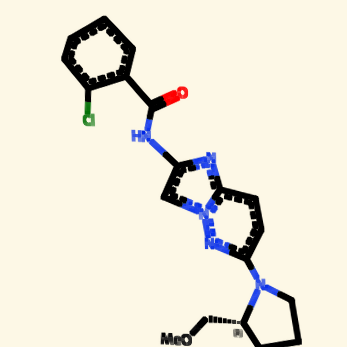 COC[C@H]1CCCN1c1ccc2nc(NC(=O)c3ccccc3Cl)cn2n1